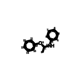 CC(Nc1ccccc1)Oc1ccccc1